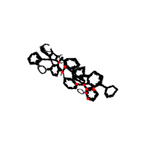 c1ccc(-c2ccc(-c3ccccc3N(c3ccc4c(c3)C3(c5ccccc5O4)c4ccccc4-c4ccccc43)c3ccc4c(c3)C3(c5ccccc5O4)c4cc(C5CCCCC5)ccc4-c4ccc(C5CCCCC5)cc43)cc2)cc1